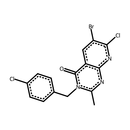 Cc1nc2nc(Cl)c(Br)cc2c(=O)n1Cc1ccc(Cl)cc1